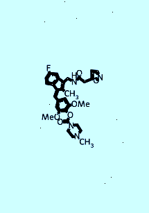 COc1cc(C=C2C(C)=C(CNC(=O)Cc3ccno3)c3cc(F)ccc32)cc(OC)c1OC(=O)N1CCN(C)CC1